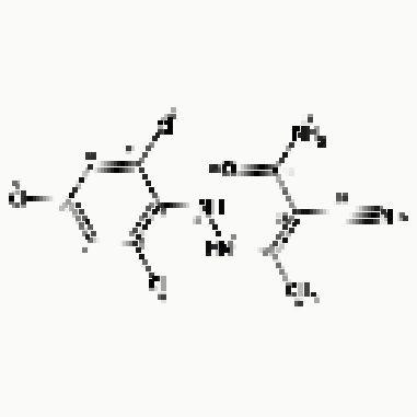 CC(NNc1c(Cl)cc(Cl)cc1Cl)=C(C#N)C(N)=O